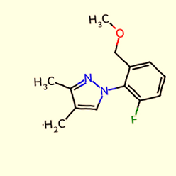 [CH2]c1cn(-c2c(F)cccc2COC)nc1C